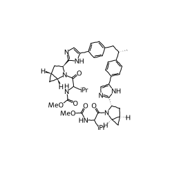 COC(=O)NC(C(=O)N1[C@@H]2C[C@@H]2C[C@H]1c1ncc(-c2ccc(C[C@H](C)c3ccc(-c4cnc([C@@H]5C[C@H]6C[C@H]6N5C(=O)C(NC(=O)OC)C(C)C)[nH]4)cc3)cc2)[nH]1)C(C)C